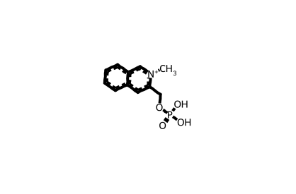 C[n+]1cc2ccccc2cc1COP(=O)(O)O